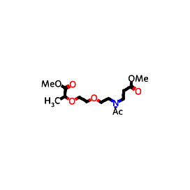 COC(=O)CCN(CCOCCOC(C)C(=O)OC)C(C)=O